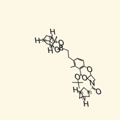 Cc1c(CCB2O[C@@H]3C[C@@H]4C[C@@H](C4(C)C)[C@]3(C)O2)ccc(OC2CN(C(=O)[C@@H]3C[C@@H]4C[C@@H]4C3)C2)c1C(=O)OC(C)(C)C